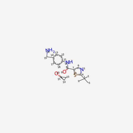 CC(C)(C)c1ncc(C(=O)Nc2ccc(CN)cc2)s1.O=C1CC1